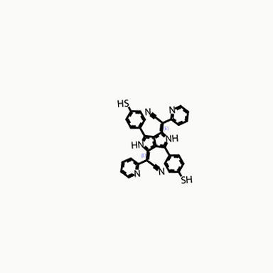 N#C/C(c1ccccn1)=c1/[nH]c(-c2ccc(S)cc2)c2/c(=C(\C#N)c3ccccn3)[nH]c(-c3ccc(S)cc3)c12